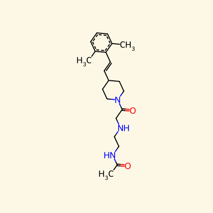 CC(=O)NCCNCC(=O)N1CCC(C=Cc2c(C)cccc2C)CC1